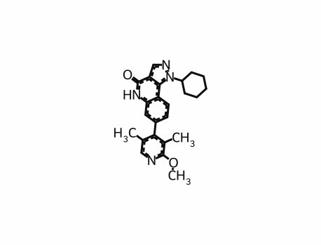 COc1ncc(C)c(-c2ccc3c(c2)[nH]c(=O)c2cnn(C4CCCCC4)c23)c1C